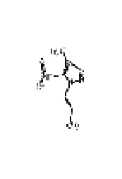 CCCn1nnc(C)c1[N+](=O)[O-]